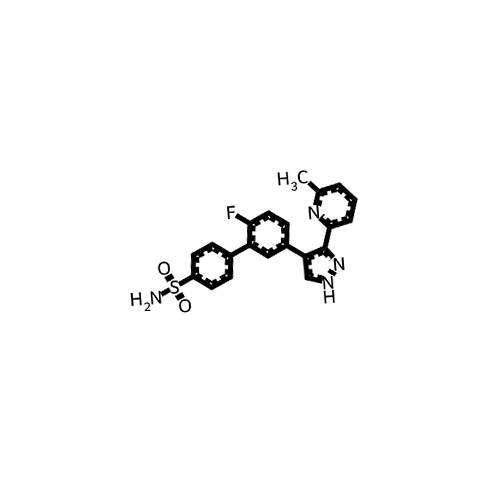 Cc1cccc(-c2n[nH]cc2-c2ccc(F)c(-c3ccc(S(N)(=O)=O)cc3)c2)n1